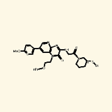 CCCOCCn1c(=O)c(NCC(=O)N2CCC[C@H](OCC)C2)nc2ncc(-c3ccc(OC)nc3)cc21